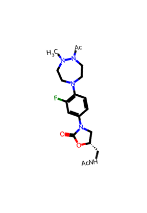 CC(=O)NC[C@H]1CN(c2ccc(N3CCN(C)N(C(C)=O)CC3)c(F)c2)C(=O)O1